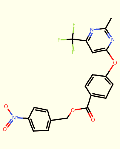 Cc1nc(Oc2ccc(C(=O)OCc3ccc([N+](=O)[O-])cc3)cc2)cc(C(F)(F)F)n1